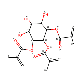 C=C(C)C(=O)OC1C(O)C(O)C(O)C(OC(=O)C(=C)C)C1OC(=O)C(=C)C